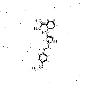 COc1ccc(CSc2nc(Nc3ccccc3C(C)C)n[nH]2)cc1